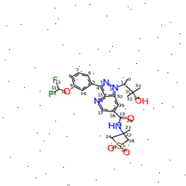 CC(n1nc(-c2cccc(OC(F)F)c2)c2ncc(C(=O)NC3(C)CS(=O)(=O)C3)cc21)C(C)(C)O